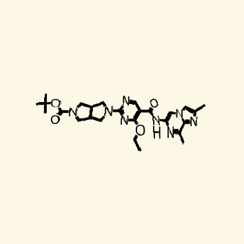 CCOc1nc(N2CC3CN(C(=O)OC(C)(C)C)CC3C2)ncc1C(=O)Nc1cn2cc(C)nc2c(C)n1